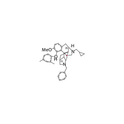 COc1ccc2c(c1Oc1ccc(C)cc1C)C13CCN(CC4CC4)[C@H](C2)C12CCC1C3[C@@H](CN1Cc1ccccc1)C2